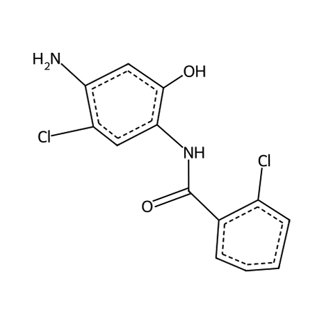 Nc1cc(O)c(NC(=O)c2ccccc2Cl)cc1Cl